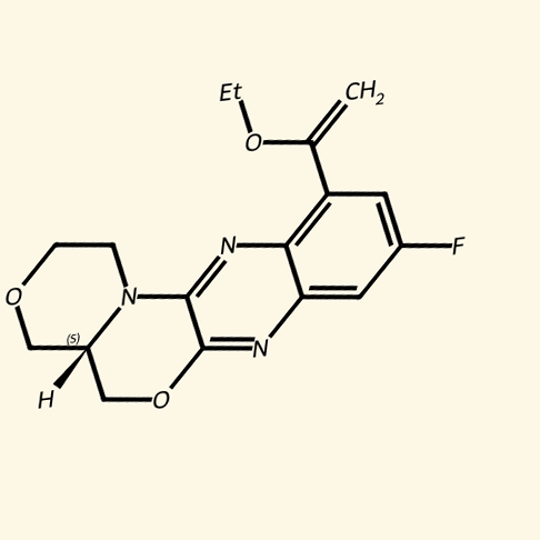 C=C(OCC)c1cc(F)cc2nc3c(nc12)N1CCOC[C@H]1CO3